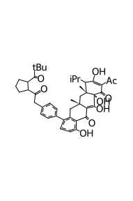 CC(=O)C1=C(O)C(C(C)C)[C@@]2(C)C[C@@]3(C)Cc4c(-c5ccc(CC(=O)C6CCCC6C(=O)C(C)(C)C)cc5)ccc(O)c4C(=O)C3=C(O)[C@@]2(O)C1=O